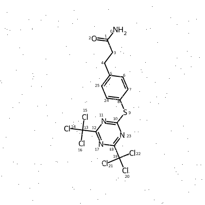 NC(=O)CCc1ccc(Sc2nc(C(Cl)(Cl)Cl)nc(C(Cl)(Cl)Cl)n2)cc1